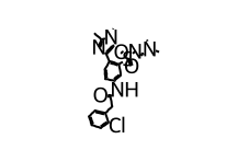 Cc1nc(-c2ccc(NC(=O)Cc3ccccc3Cl)cc2S(=O)(=O)N=CN(C)C)cn1C